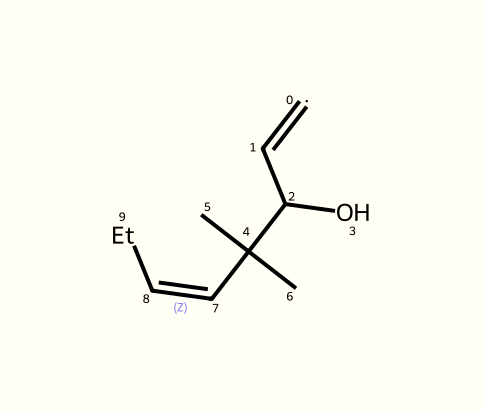 [CH]=CC(O)C(C)(C)/C=C\CC